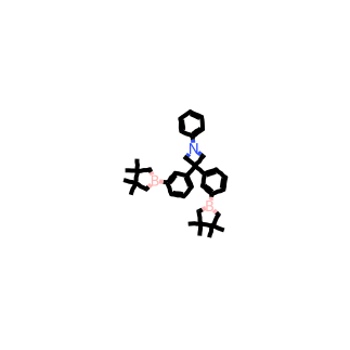 CC1(C)CB(c2cccc(C3(c4cccc(B5CC(C)(C)C(C)(C)C5)c4)CN(c4ccccc4)C3)c2)CC1(C)C